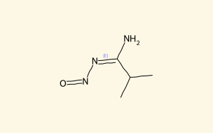 CC(C)/C(N)=N\N=O